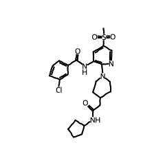 CS(=O)(=O)c1cnc(N2CCC(CC(=O)NC3CCCC3)CC2)c(NC(=O)c2cccc(Cl)c2)c1